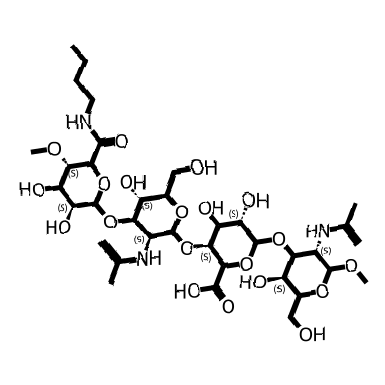 C=C(C)N[C@@H]1C(OC)OC(CO)[C@@H](O)C1OC1OC(C(=O)O)[C@@H](OC2OC(CO)[C@@H](O)C(OC3OC(C(=O)NCCCC)[C@@H](OC)C(O)[C@@H]3O)[C@@H]2NC(=C)C)C(O)[C@@H]1O